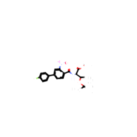 COC(=O)[C@@H](NC(=O)c1ccc(-c2ccc(F)cc2)cc1[N+](=O)[O-])C(C)OC(C)(C)C